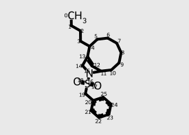 CCCCC1CCCCCCC2C=C1CN2S(=O)(=O)Cc1ccccc1